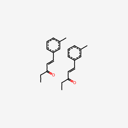 CCC(=O)C=Cc1cccc(C)c1.CCC(=O)C=Cc1cccc(C)c1